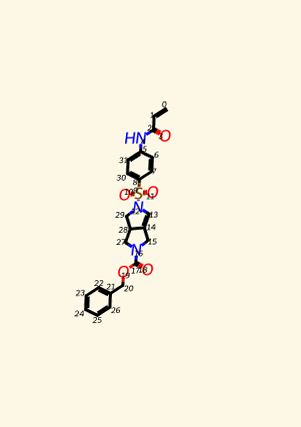 C=CC(=O)Nc1ccc(S(=O)(=O)N2C=C3CN(C(=O)OCc4ccccc4)CC3C2)cc1